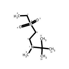 CCS(=O)(=O)CCN(C)C(C)(C)C